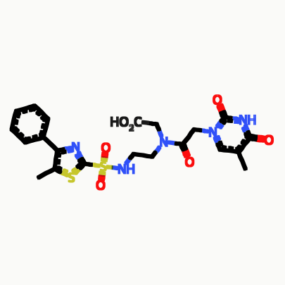 Cc1sc(S(=O)(=O)NCCN(CC(=O)O)C(=O)Cn2cc(C)c(=O)[nH]c2=O)nc1-c1ccccc1